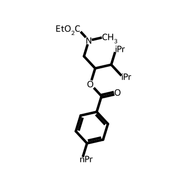 CCCc1ccc(C(=O)OC(CN(C)C(=O)OCC)C(C(C)C)C(C)C)cc1